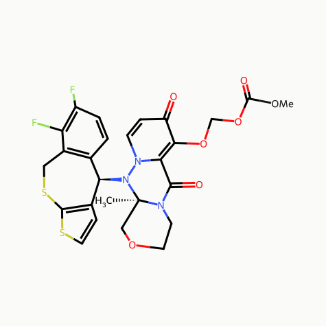 COC(=O)OCOc1c2n(ccc1=O)N([C@H]1c3ccsc3SCc3c1ccc(F)c3F)[C@]1(C)COCCN1C2=O